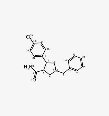 NC(=O)C1CN(Cc2ccccc2)CC1c1ccc(Cl)cc1